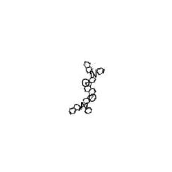 C1=CC(N(C2=Cc3oc4ccc5c(c4c3CC2)C=CC2Oc3cc(N(c4ccccc4)c4ccc6c(c4)C=CCC6)ccc3C52)c2ccc3ccccc3c2)=CCC1